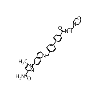 Cc1cc(C(N)=O)nn1-c1ccc2c(ccn2Cc2ccc(-c3ccc(C(=O)NCCN4CCOCC4)cc3)cc2)c1